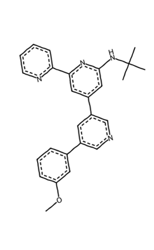 COc1cccc(-c2cncc(-c3cc(NC(C)(C)C)nc(-c4ccccn4)c3)c2)c1